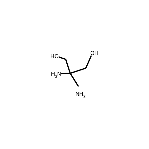 CC(N)(CO)CO.N